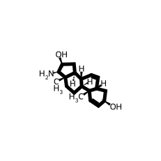 C[C@]12C=C[C@H](O)C[C@H]1C=C[C@@H]1[C@@H]2CC[C@]2(C)[C@H](N)[C@@H](O)C[C@@H]12